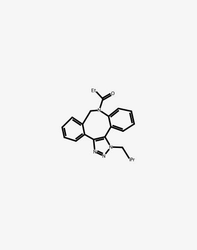 CCC(=O)N1Cc2ccccc2-c2nnn(CC(C)C)c2-c2ccccc21